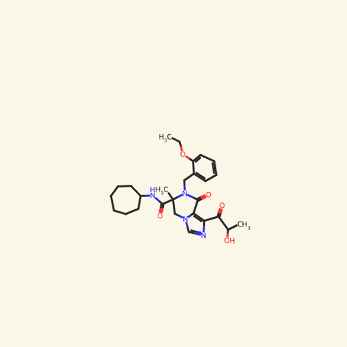 CCOc1ccccc1CN1C(=O)c2c(C(=O)C(C)O)ncn2CC1(C)C(=O)NC1CCCCCC1